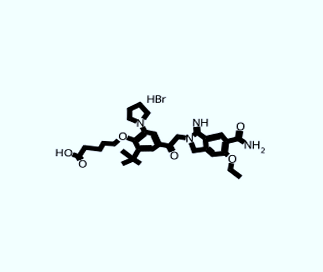 Br.CCOc1cc2c(cc1C(N)=O)C(=N)N(CC(=O)c1cc(N3CCCC3)c(OCCCCC(=O)O)c(C(C)(C)C)c1)C2